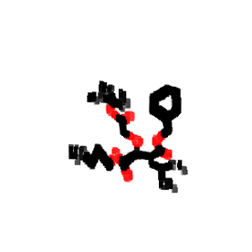 CCCCOC(=O)[C@H](OCC(=O)OC(C)(C)C)[C@@H](CC(C)C)C(=O)OCc1ccccc1